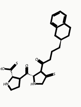 O=C(CCC[C@@H]1CCc2ccccc2C1)C1C(=S)CN[C@@H]1C(=O)C1CCN[C@@H]1C(O)=S